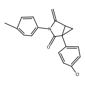 C=C1C2CC2(c2ccc(Cl)cc2)C(=O)N1c1ccc(C)cc1